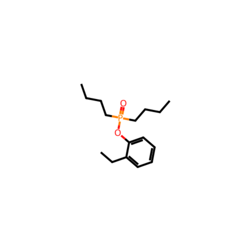 CCCCP(=O)(CCCC)Oc1ccccc1CC